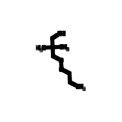 CCCOOCC(C)(C)CO